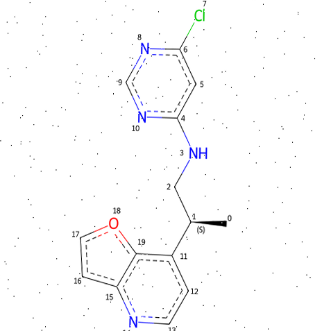 C[C@H](CNc1cc(Cl)ncn1)c1ccnc2ccoc12